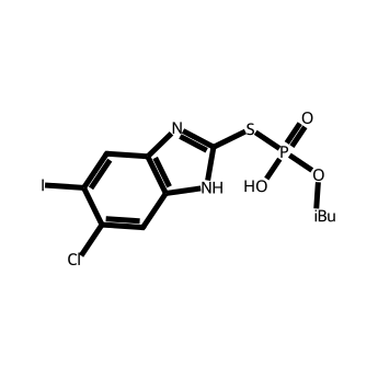 CCC(C)OP(=O)(O)Sc1nc2cc(I)c(Cl)cc2[nH]1